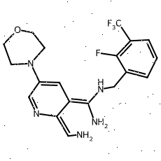 N/C=c1/ncc(N2CCOCC2)c/c1=C(/N)NCc1cccc(C(F)(F)F)c1F